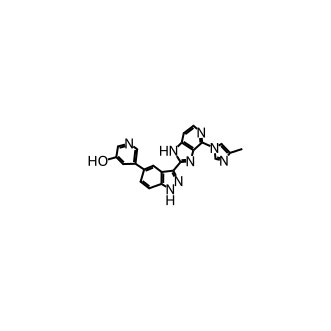 Cc1cn(-c2nccc3[nH]c(-c4n[nH]c5ccc(-c6cncc(O)c6)cc45)nc23)cn1